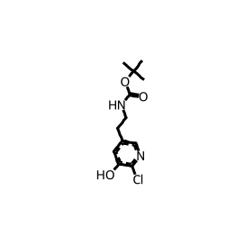 CC(C)(C)OC(=O)NCCc1cnc(Cl)c(O)c1